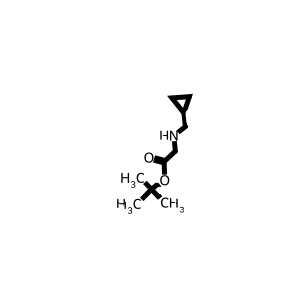 CC(C)(C)OC(=O)CNCC1CC1